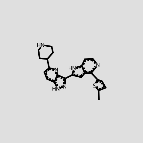 Cc1ccc(-c2nccc3[nH]c(-c4n[nH]c5ccc(C6CCNCC6)nc45)cc23)s1